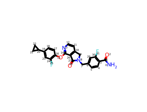 NC(=O)c1ccc(CN2Cc3ccnc(Oc4ccc(C5CC5)cc4F)c3C2=O)cc1F